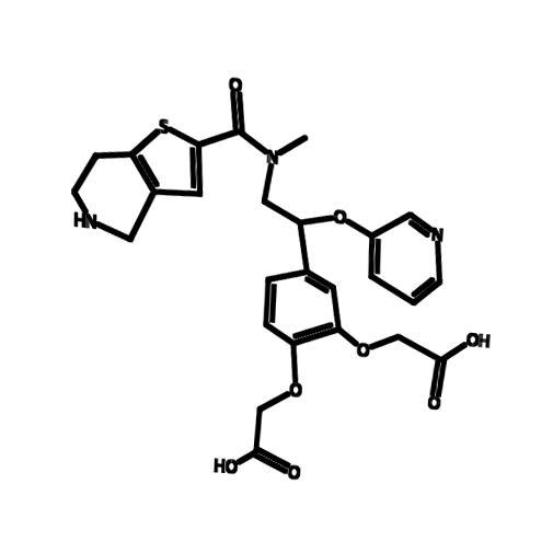 CN(CC(Oc1cccnc1)c1ccc(OCC(=O)O)c(OCC(=O)O)c1)C(=O)c1cc2c(s1)CCNC2